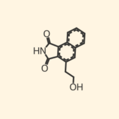 O=C1NC(=O)c2c1c(CCO)cc1ccccc21